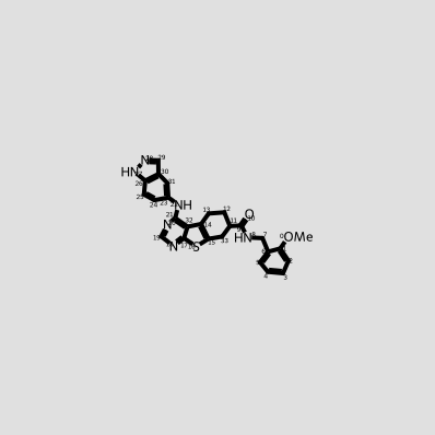 COc1ccccc1CNC(=O)C1CCc2c(sc3ncnc(Nc4ccc5[nH]ncc5c4)c23)C1